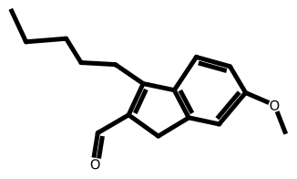 CCCCCC1=C(C=O)Cc2cc(OC)ccc21